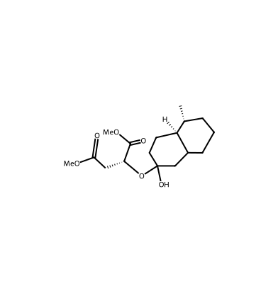 COC(=O)C[C@@H](OC1(O)CC[C@@H]2C(CCC[C@H]2C)C1)C(=O)OC